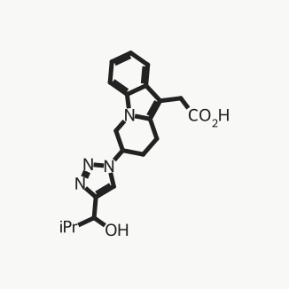 CC(C)C(O)c1cn(C2CCc3c(CC(=O)O)c4ccccc4n3C2)nn1